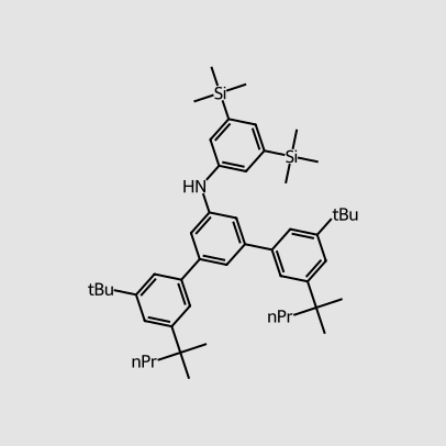 CCCC(C)(C)c1cc(-c2cc(Nc3cc([Si](C)(C)C)cc([Si](C)(C)C)c3)cc(-c3cc(C(C)(C)C)cc(C(C)(C)CCC)c3)c2)cc(C(C)(C)C)c1